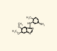 COc1cc2ncnc(Nc3cc(N)ccc3C)c2cc1OC